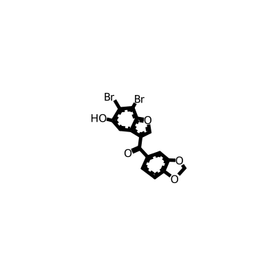 O=C(c1ccc2c(c1)OCO2)c1coc2c(Br)c(Br)c(O)cc12